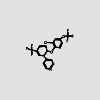 FC(F)(F)Oc1ccc(OC2C=CC(C(F)(F)F)=CN2c2ccnnc2)c(Cl)c1